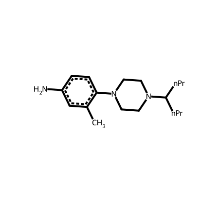 CCCC(CCC)N1CCN(c2ccc(N)cc2C)CC1